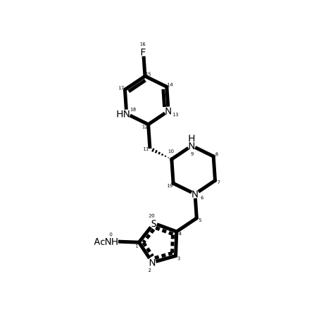 CC(=O)Nc1ncc(CN2CCN[C@@H](CC3N=CC(F)=CN3)C2)s1